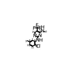 CNc1nc(Nc2cc(C)[c]cc2Cl)ncc1C(F)(F)F